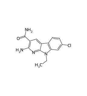 CCn1c2cc(Cl)ccc2c2cc(C(N)=O)c(N)nc21